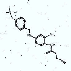 C#CCCC(=O)Nc1ccc(NCc2ccc(OC(F)(F)F)cc2)cc1N